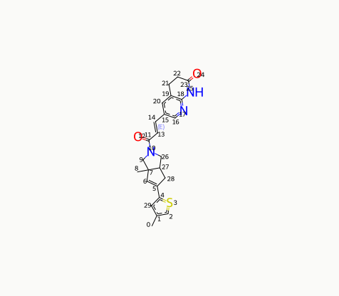 Cc1csc(C2=CC3(C)CN(C(=O)/C=C/c4cnc5c(c4)CCC(=O)N5)CC3C2)c1